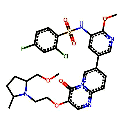 COCC1CCC(C)N1CCOc1cnc2ccc(-c3cnc(OC)c(NS(=O)(=O)c4ccc(F)cc4Cl)c3)cn2c1=O